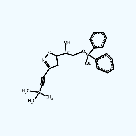 CC(C)(C)[Si](OC[C@H](O)C1CC(C#C[Si](C)(C)C)=NO1)(c1ccccc1)c1ccccc1